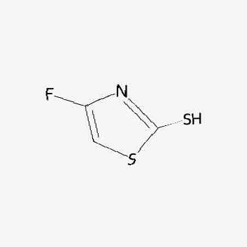 Fc1csc(S)n1